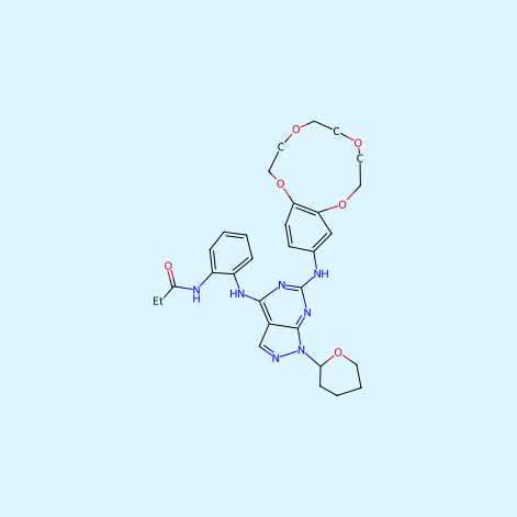 CCC(=O)Nc1ccccc1Nc1nc(Nc2ccc3c(c2)OCCOCCOCCO3)nc2c1cnn2C1CCCCO1